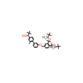 Cc1cc(C(O)C(C)(C)C)ccc1-c1cccc(OCc2ccc(C(C)(C)O[SiH2]C(C)(C)C)c(C(C)(C)O[SiH2]C(C)(C)C)c2)c1